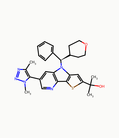 Cc1nnn(C)c1-c1cnc2c3sc(C(C)(C)O)cc3n([C@@H](c3ccccc3)C3CCOCC3)c2c1